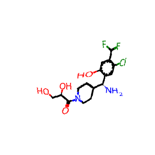 N[C@@H](c1cc(Cl)c(C(F)F)cc1O)C1CCN(C(=O)[C@H](O)CO)CC1